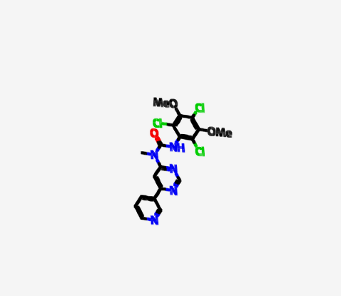 COc1c(Cl)c(NC(=O)N(C)c2cc(-c3cccnc3)ncn2)c(Cl)c(OC)c1Cl